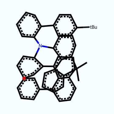 CC(C)(C)c1ccc(-c2ccccc2N(c2ccccc2-c2cccc3cccc(-c4ccccc4)c23)c2cccc3c2-c2ccccc2C3(C)C)cc1